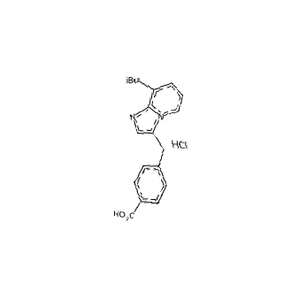 CCC(C)c1cccn2c(Cc3ccc(C(=O)O)cc3)cnc12.Cl